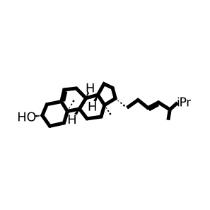 CC(C)C(C)/C=C/CC[C@H]1CC[C@H]2[C@@H]3CC=C4C[C@@H](O)CC[C@]4(C)[C@H]3CC[C@]12C